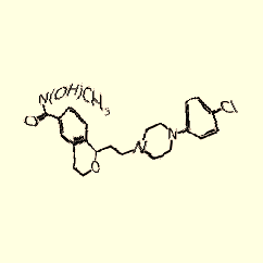 CN(O)C(=O)c1ccc2c(c1)CCOC2CCN1CCN(c2ccc(Cl)cc2)CC1